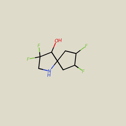 OC1C(F)(F)CNC12CC(F)C(F)C2